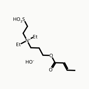 CC=CC(=O)OCCC[N+](CC)(CC)CCS(=O)(=O)O.[OH-]